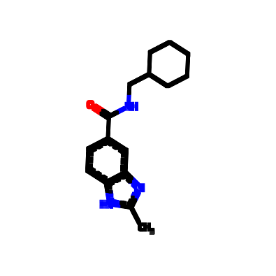 Cc1nc2cc(C(=O)NCC3CCCCC3)ccc2[nH]1